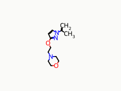 C=C(C)n1ccc(OCCN2CCOCC2)n1